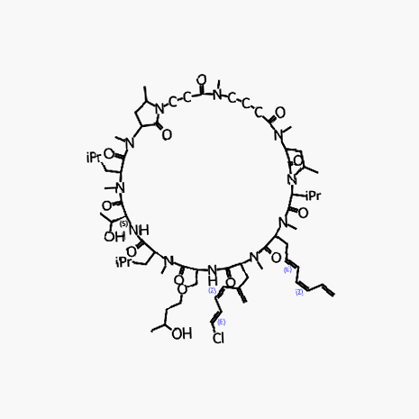 C=C/C=C\C=C\CC1C(=O)N(C)C(CC(=C)/C=C\C=C\Cl)C(=O)NC(COCCC(C)O)C(=O)N(C)C(CC(C)C)C(=O)N[C@@H](C(C)O)C(=O)N(C)C(CC(C)C)C(=O)N(C)C2CC(C)N(CCC(=O)N(C)CCCC(=O)N(C)C3CC(C)N(C3=O)C(C(C)C)C(=O)N1C)C2=O